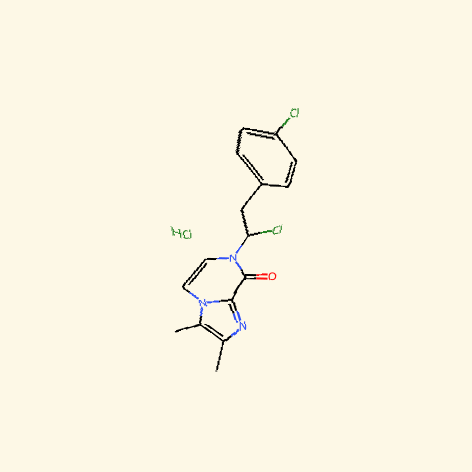 Cc1nc2c(=O)n(C(Cl)Cc3ccc(Cl)cc3)ccn2c1C.Cl